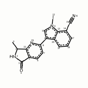 CC1NC(=O)c2ccc(-c3cn(I)c4c(C#N)cccc34)nc21